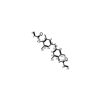 C=CC(=O)Sc1c(C)cc(Sc2cc(C)c(SC(=O)C=C)c(C)c2)cc1C